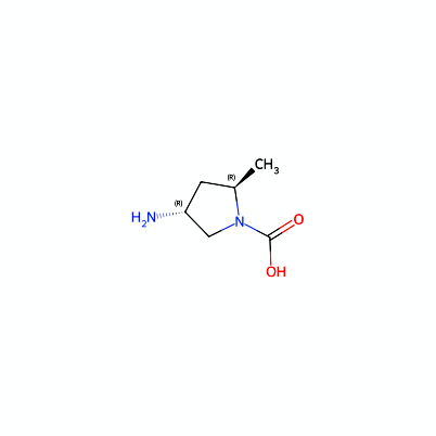 C[C@@H]1C[C@@H](N)CN1C(=O)O